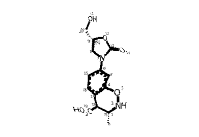 C[C@H]1NOc2cc(N3C[C@H](CO)OC3=O)ccc2C1C(=O)O